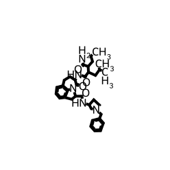 CCCC(C(N)=O)C(CC(C)C)C(=O)NC1CCc2cccc3c2N(C1=O)C(C(=O)NC1CCN(Cc2ccccc2)C1)C3